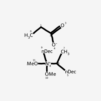 CCC(=O)[O-].CCCCCCCCCCC(C)[N+](CCCCCCCCCC)(OC)OC